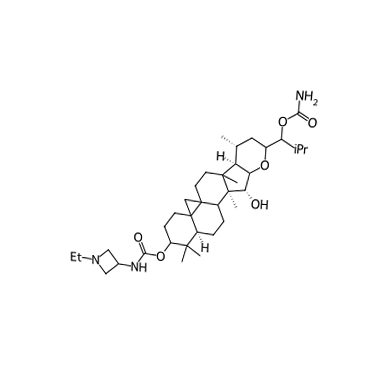 CCN1CC(NC(=O)OC2CCC34CC35CCC3(C)[C@@H]6C(OC(C(OC(N)=O)C(C)C)C[C@H]6C)[C@H](O)[C@@]3(C)C5CC[C@H]4C2(C)C)C1